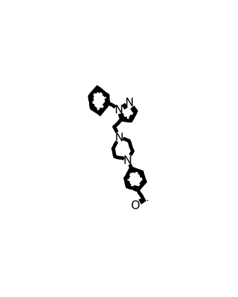 O=[C]c1ccc(N2CCN(Cc3ccnn3-c3ccccc3)CC2)cc1